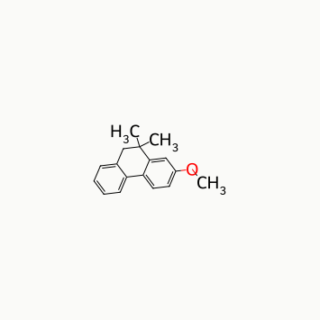 COc1ccc2c(c1)C(C)(C)Cc1ccccc1-2